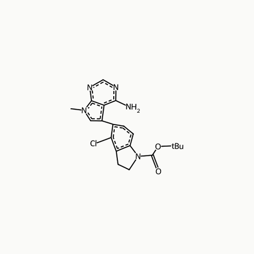 Cn1cc(-c2ccc3c(c2Cl)CCN3C(=O)OC(C)(C)C)c2c(N)ncnc21